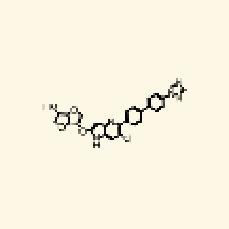 O[C@@H]1COC2C1OC[C@H]2Oc1cc2nc(-c3ccc(-c4ccc(-n5cncn5)cc4)cc3)c(Cl)cc2[nH]1